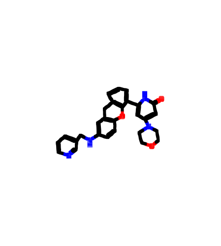 O=c1cc(N2CCOCC2)cc(-c2cccc3c2Oc2ccc(NCc4cccnc4)cc2C3)[nH]1